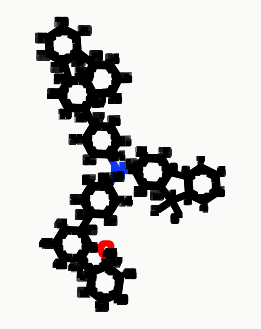 CC1(C)c2ccccc2-c2ccc(N(c3ccc(-c4ccc5c6c(cccc46)-c4ccccc4-5)cc3)c3ccc(-c4cccc5c4oc4ccccc45)cc3)cc21